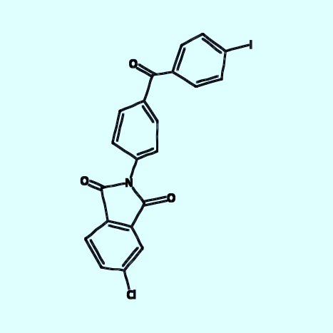 O=C(c1ccc(I)cc1)c1ccc(N2C(=O)c3ccc(Cl)cc3C2=O)cc1